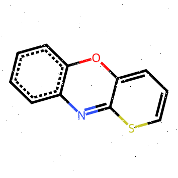 C1=CSC2=Nc3ccccc3OC2=C1